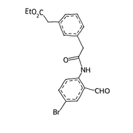 CCOC(=O)Cc1cccc(CC(=O)Nc2ccc(Br)cc2C=O)c1